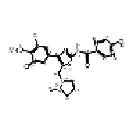 COc1c(F)cc(-c2nc(NC(=O)c3cnc(Cl)cn3)sc2CN2CCC[C@H]2C)cc1Cl